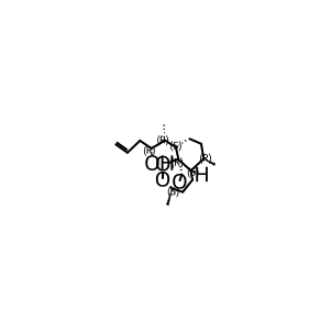 C=CC[C@@H](O)[C@H](C)[C@@H]1CC[C@@H](C)[C@@H]2CC[C@@]3(C)OC[C@]12OO3